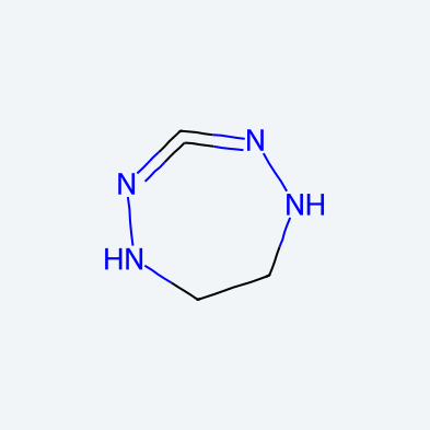 C1=NNCCNN=1